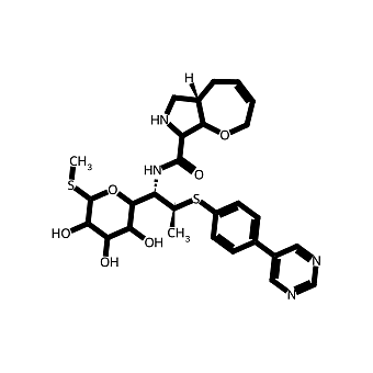 CSC1OC([C@H](NC(=O)C2NC[C@@H]3CC=CCOC23)[C@H](C)Sc2ccc(-c3cncnc3)cc2)C(O)C(O)C1O